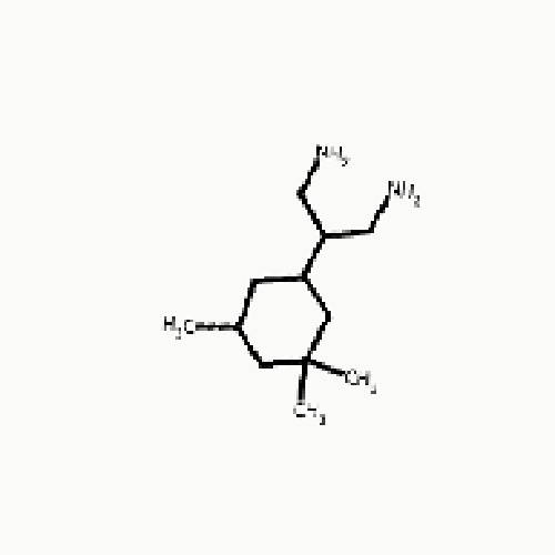 CC1CC(C(CN)CN)CC(C)(C)C1